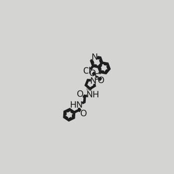 O=C(CNC(=O)c1ccccc1)N[C@@H]1CCN(S(=O)(=O)c2cccc3cncc(Cl)c23)C1